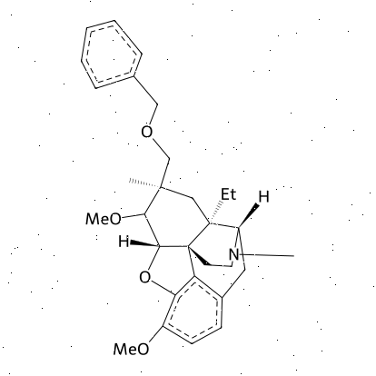 CC[C@@]12C[C@](C)(COCc3ccccc3)C(OC)[C@H]3Oc4c(OC)ccc5c4[C@]31CCN(C)[C@H]2C5